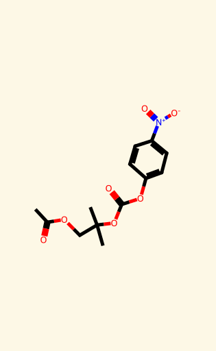 CC(=O)OCC(C)(C)OC(=O)Oc1ccc([N+](=O)[O-])cc1